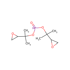 CC(C)(O[PH](=O)OC(C)(C)C1CO1)C1CO1